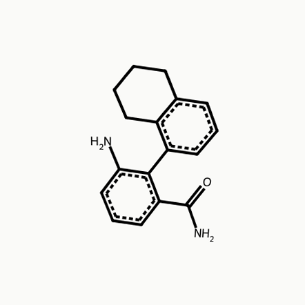 NC(=O)c1cccc(N)c1-c1cccc2c1CCCC2